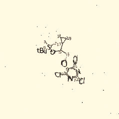 CC(C)(C)[Si](C)(C)OC(COc1c(Cl)nc(Cl)nc1Cl)C1CC1